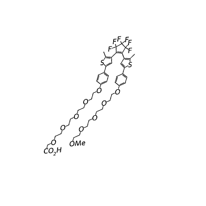 COCCOCCOCCOCCOc1ccc(-c2cc(C3=C(c4cc(-c5ccc(OCCOCCOCCOCCOCC(=O)O)cc5)sc4C)C(F)(F)C(F)(F)C3(F)F)c(C)s2)cc1